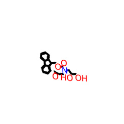 O=C(OCC1c2ccccc2-c2ccccc21)N(CC(O)CO)CC1CO1